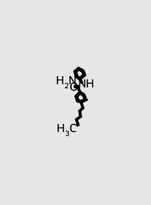 CCCCCCc1ccc(C(=O)Nc2ccccc2N)cc1